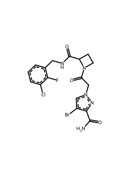 NC(=O)c1nn(CC(=O)N2CCC2C(=O)NCc2cccc(Cl)c2F)cc1Br